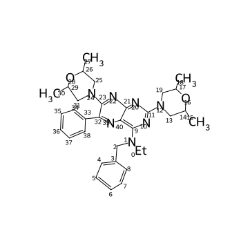 CCN(Cc1ccccc1)c1nc(N2CC(C)OC(C)C2)nc2nc(N3CC(C)OC(C)C3)c(-c3ccccc3)nc12